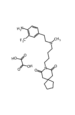 CN(CCCCN1C(=O)CC2(CCCC2)CC1=O)CCc1ccc(N)c(C(F)(F)F)c1.O=C(O)C(=O)O